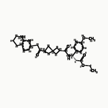 CCOC(=O)C[C@H](NC(=O)C1CC2(C1)CN(C(=O)Cc1ccc3c(n1)NCCC3)C2)c1ccc(OC)nc1